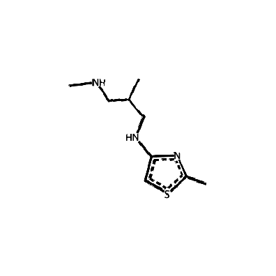 CNCC(C)CNc1csc(C)n1